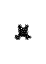 c1cc(-c2cccc3c2oc2ccccc23)cc(N(c2ccc(-c3cccc4ccccc34)cc2)c2c3ccccc3c(N(c3ccc(-c4cccc5ccccc45)cc3)c3cccc(-c4cccc5c4oc4ccccc45)c3)c3ccccc23)c1